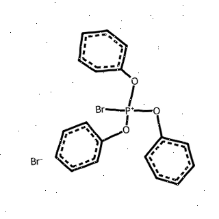 Br[P+](Oc1ccccc1)(Oc1ccccc1)Oc1ccccc1.[Br-]